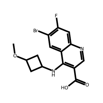 COC1CC(Nc2c(C(=O)O)cnc3cc(F)c(Br)cc23)C1